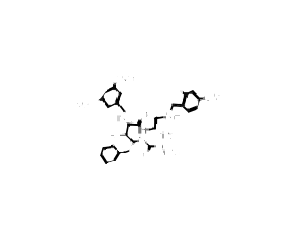 COc1cc(CN[C@@H](C(=O)N[C@H](C(=O)NCc2ccc(OC)cc2O)C(C)C)[C@H](O)[C@H](Cc2ccccc2)NC(=O)OC(C)(C)C)cc(OC)c1